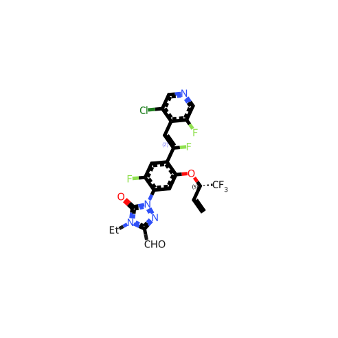 C=C[C@H](Oc1cc(-n2nc(C=O)n(CC)c2=O)c(F)cc1/C(F)=C/c1c(F)cncc1Cl)C(F)(F)F